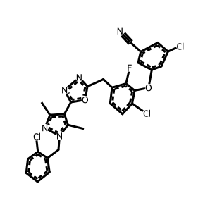 Cc1nn(Cc2ccccc2Cl)c(C)c1-c1nnc(Cc2ccc(Cl)c(Oc3cc(Cl)cc(C#N)c3)c2F)o1